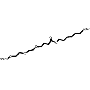 CCCCCCCCCCCCCCCCOC(=O)CCCOCCOCCOCCCCC